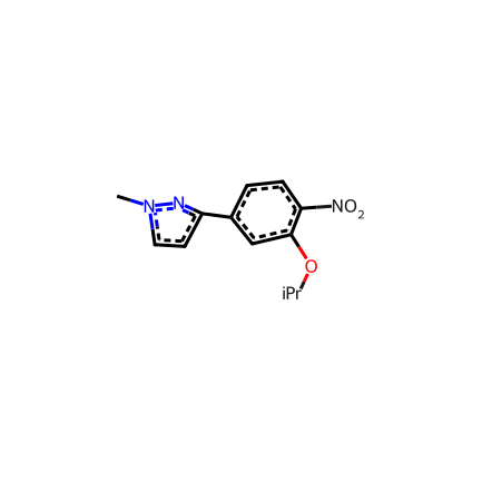 CC(C)Oc1cc(-c2ccn(C)n2)ccc1[N+](=O)[O-]